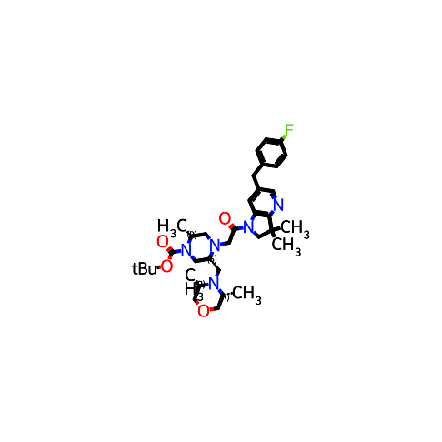 C[C@@H]1CN(CC(=O)N2CC(C)(C)c3ncc(Cc4ccc(F)cc4)cc32)[C@@H](CN2[C@H](C)COC[C@H]2C)CN1C(=O)OC(C)(C)C